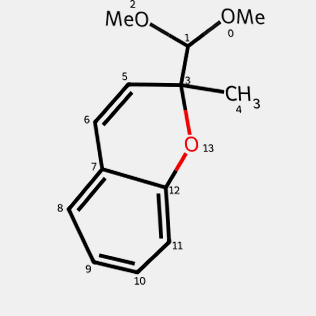 COC(OC)C1(C)C=Cc2ccccc2O1